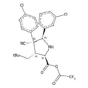 CC(C)(C)C[C@H]1[C@H](C(=O)OC(=O)C(F)(F)F)N[C@H](c2cccc(Cl)c2)[C@]1(C#N)c1ccc(Cl)cc1